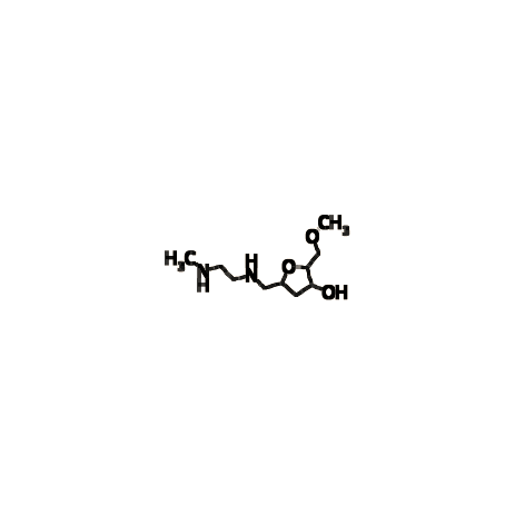 CNCCNCC1CC(O)C(COC)O1